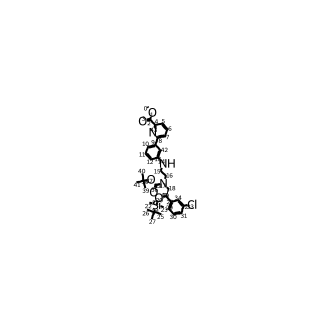 COC(=O)c1cccc(-c2cccc(NCCN(C[C@H](O[Si](C)(C)C(C)(C)C)c3cccc(Cl)c3)C(=O)OC(C)(C)C)c2)n1